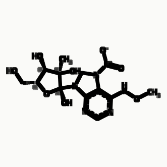 CONc1ncnc2c1N([N+](=O)[O-])CN2[C@]1(O)O[C@H](CO)[C@@H](O)[C@@]1(C)O